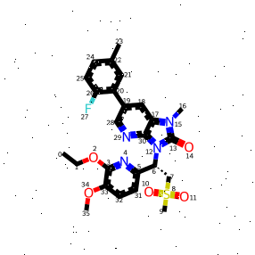 CCOc1nc([C@@H](CS(C)(=O)=O)n2c(=O)n(C)c3cc(-c4cc(C)ccc4F)cnc32)ccc1OC